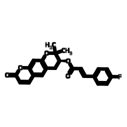 CC1(C)Oc2cc3oc(=O)ccc3cc2C[C@@H]1OC(=O)/C=C/c1ccc(F)cc1